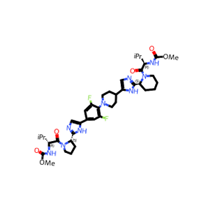 COC(=O)N[C@@H](C(=O)N1CCC[C@H]1c1ncc(-c2cc(F)c(N3CCC(c4cnc([C@@H]5CCCCN5C(=O)[C@H](NC(=O)OC)C(C)C)[nH]4)CC3)c(F)c2)[nH]1)C(C)C